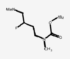 CNCC(F)CCN(C)C(=O)OC(C)(C)C